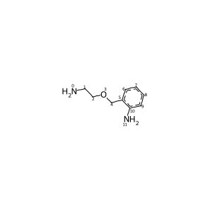 NCCOCc1ccccc1N